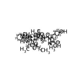 CCCC(=O)OCN(C(=O)[C@@H](NC(=O)[C@H]1CCCCCN1C)C(C)CC)[C@H](C[C@@H](OC(C)=O)c1nc(C(=O)N[C@@H](Cc2ccc(O)cc2)C[C@H](C)C(=O)O)cs1)C(C)C